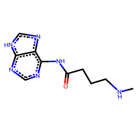 CNCCCC(=O)Nc1ncnc2[nH]cnc12